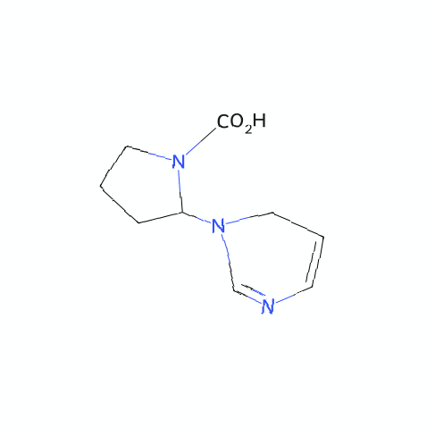 O=C(O)N1CCCC1N1C=NC=CC1